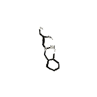 CC1=CCCCC1CN(N)/C=C(\N)CC(C)C